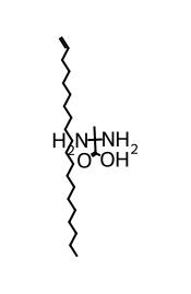 C=CCCCCCCCCCCCCCCCCCC.CC(N)(N)C(=O)O